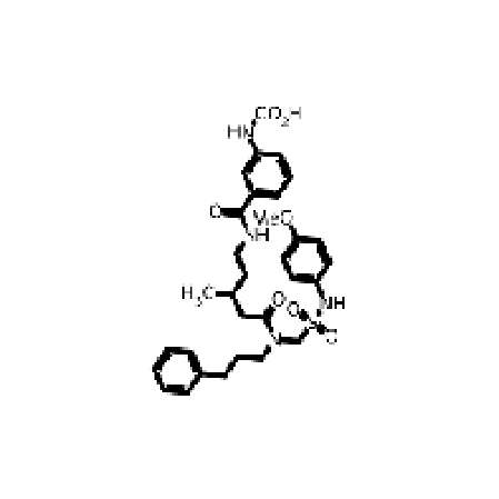 COc1ccc(NS(=O)(=O)CN(CCCc2ccccc2)C(=O)CC(C)CCNC(=O)c2cccc(NC(=O)O)c2)cc1